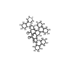 O=c1c2sc(C3=CCCC=C3c3ccccc3)cc2c2cc(-c3ccccc3-c3ccccc3)cc3c4cc(-c5ccccc5-c5ccccc5)sc4c(=O)n1c23